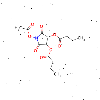 CCCC(=O)OC1C(=O)N(OC(C)=O)C(=O)C1OC(=O)CCC